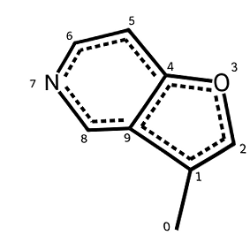 Cc1coc2ccncc12